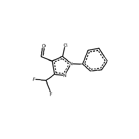 O=Cc1c(C(F)F)nn(-c2ccccc2)c1Cl